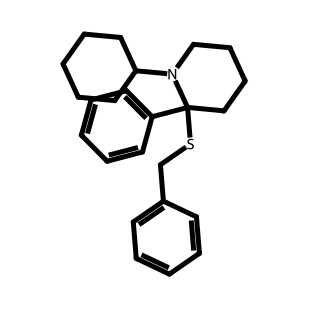 c1ccc(CSC2(c3ccccc3)CCCCN2C2CCCCC2)cc1